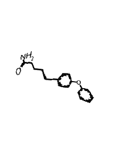 NC(=O)CCCCc1ccc(Oc2ccccc2)cc1